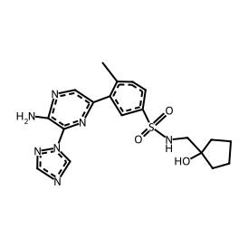 Cc1ccc(S(=O)(=O)NCC2(O)CCCC2)cc1-c1cnc(N)c(-n2cncn2)n1